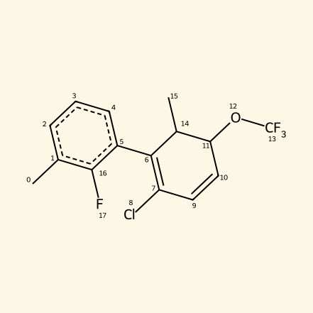 Cc1cccc(C2=C(Cl)C=CC(OC(F)(F)F)C2C)c1F